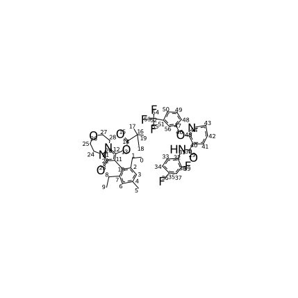 CCc1cc(C)cc(CC)c1-c1c(OC(=O)C(C)(C)C)n2n(c1=O)CCOCC2.O=C(Nc1ccc(F)cc1F)c1cccnc1Oc1cccc(C(F)(F)F)c1